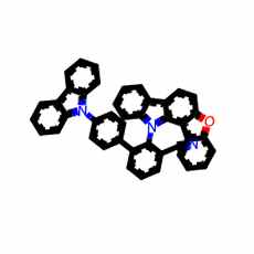 N#Cc1cccc(-c2ccc(-n3c4ccccc4c4ccccc43)cc2)c1-n1c2ccccc2c2ccc3oc4ccccc4c3c21